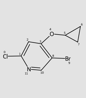 Clc1cc(OC2CC2)c(Br)cn1